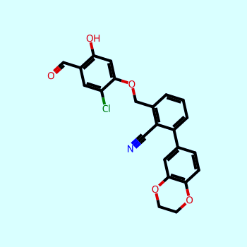 N#Cc1c(COc2cc(O)c(C=O)cc2Cl)cccc1-c1ccc2c(c1)OCCO2